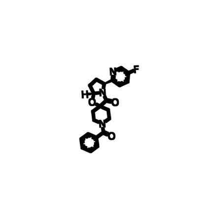 O=C(c1ccccc1)N1CCC2(CC1)O[C@@H]1CC[C@@H](c3ccc(F)cn3)N1C2=O